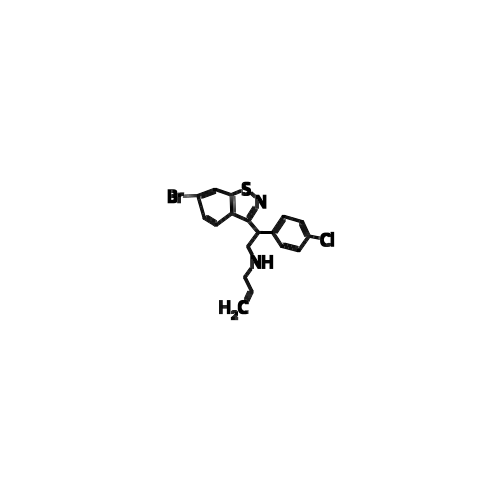 C=CCNCC(c1ccc(Cl)cc1)c1nsc2cc(Br)ccc12